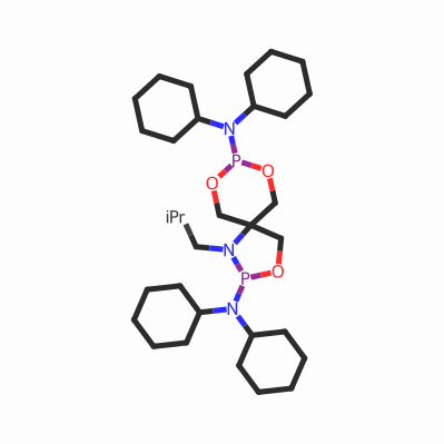 CC(C)CN1P(N(C2CCCCC2)C2CCCCC2)OCC12COP(N(C1CCCCC1)C1CCCCC1)OC2